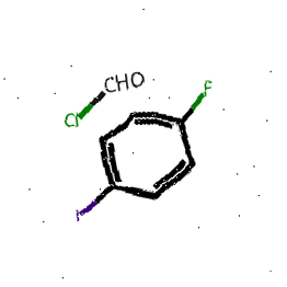 Fc1ccc(I)cc1.O=CCl